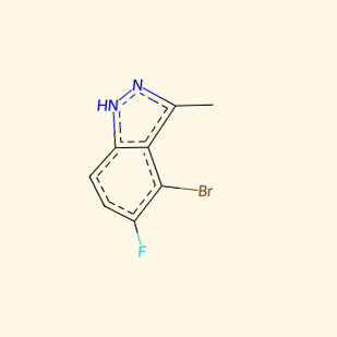 Cc1n[nH]c2ccc(F)c(Br)c12